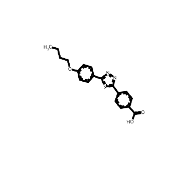 CCCCOc1ccc(-c2nnc(-c3ccc(C(=O)O)cc3)s2)cc1